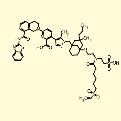 C=CS(=O)(=O)CCCCCC(=O)N(CCOC12CCCC(Cn3ncc(-c4ccc(N5CCc6cccc(C(=O)Nc7nc8ccccc8s7)c6C5)nc4C(=O)O)c3C)(CC(C)(CCC)C1)C2)CCS(=O)(=O)O